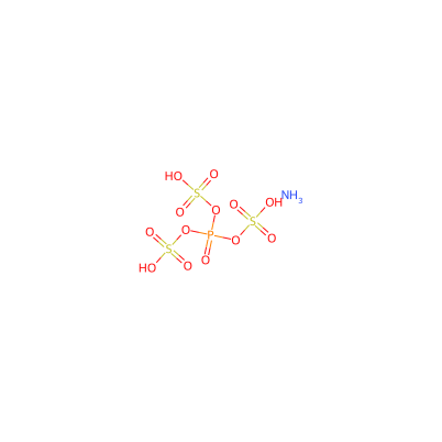 N.O=P(OS(=O)(=O)O)(OS(=O)(=O)O)OS(=O)(=O)O